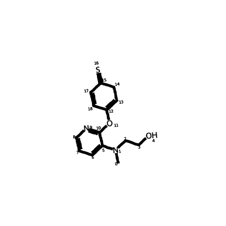 CN(CCO)c1cccnc1OC1=CCC(=S)C=C1